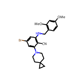 COc1ccc(CNc2cc(Br)cc(N3CCC4(CC3)CC4)c2C#N)c(OC)c1